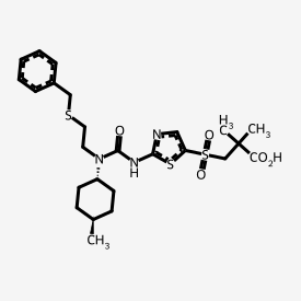 CC(C)(CS(=O)(=O)c1cnc(NC(=O)N(CCSCc2ccccc2)[C@H]2CC[C@H](C)CC2)s1)C(=O)O